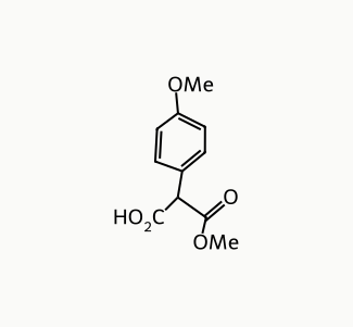 COC(=O)C(C(=O)O)c1ccc(OC)cc1